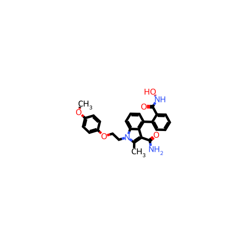 COc1ccc(OCCn2c(C)c(C(N)=O)c3c(-c4ccccc4C(=O)NO)cccc32)cc1